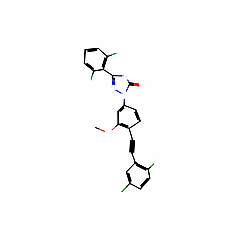 COc1cc(-n2nc(-c3c(F)cccc3Cl)[nH]c2=O)ccc1C#Cc1cc(Cl)ccc1Cl